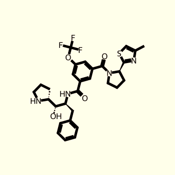 Cc1csc([C@H]2CCCN2C(=O)c2cc(OC(F)(F)F)cc(C(=O)N[C@@H](Cc3ccccc3)[C@H](O)[C@H]3CCCN3)c2)n1